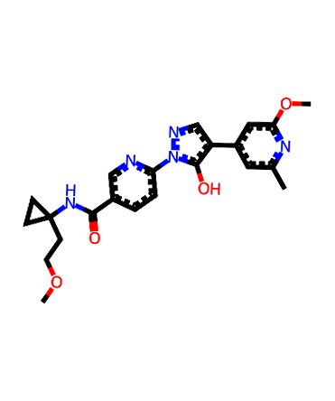 COCCC1(NC(=O)c2ccc(-n3ncc(-c4cc(C)nc(OC)c4)c3O)nc2)CC1